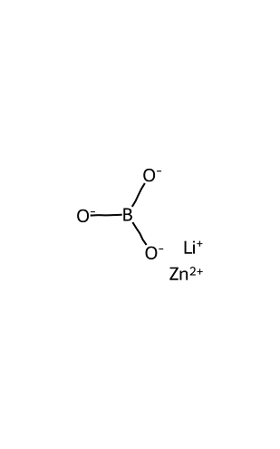 [Li+].[O-]B([O-])[O-].[Zn+2]